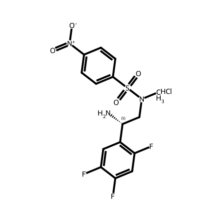 CN(C[C@@H](N)c1cc(F)c(F)cc1F)S(=O)(=O)c1ccc([N+](=O)[O-])cc1.Cl